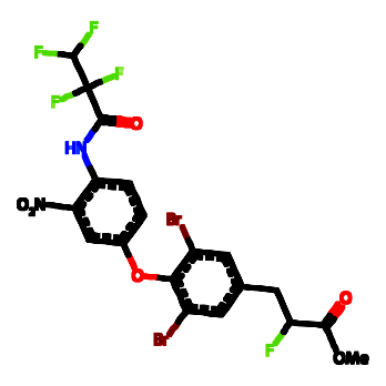 COC(=O)C(F)Cc1cc(Br)c(Oc2ccc(NC(=O)C(F)(F)C(F)F)c([N+](=O)[O-])c2)c(Br)c1